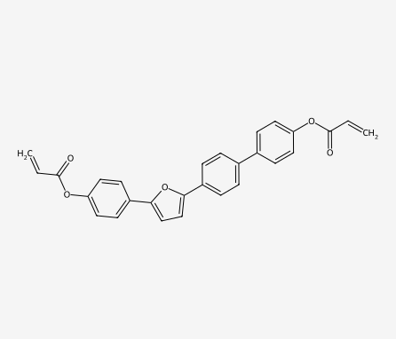 C=CC(=O)Oc1ccc(-c2ccc(-c3ccc(-c4ccc(OC(=O)C=C)cc4)o3)cc2)cc1